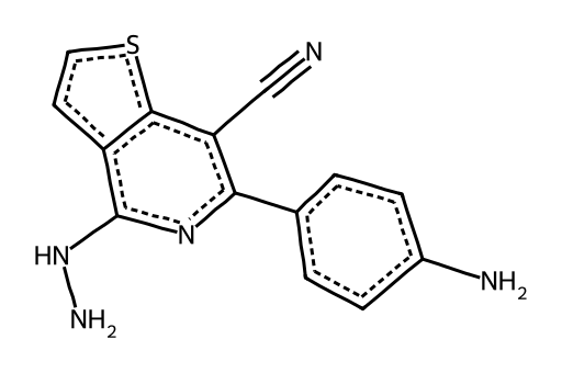 N#Cc1c(-c2ccc(N)cc2)nc(NN)c2ccsc12